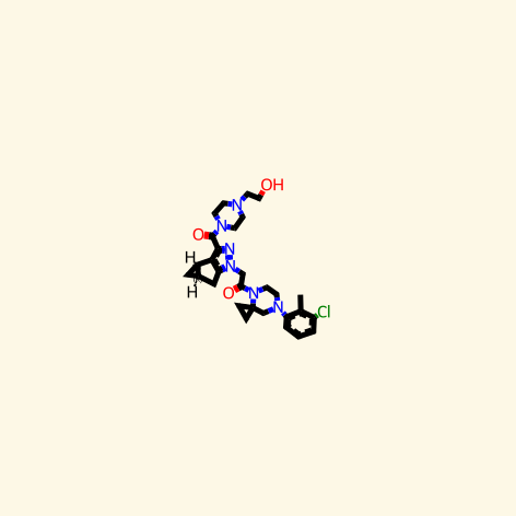 Cc1c(Cl)cccc1N1CCN(C(=O)Cn2nc(C(=O)N3CCN(CCO)CC3)c3c2C[C@H]2C[C@@H]32)C2(CC2)C1